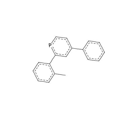 Cc1ccccc1-c1cc(-c2ccccc2)ccp1